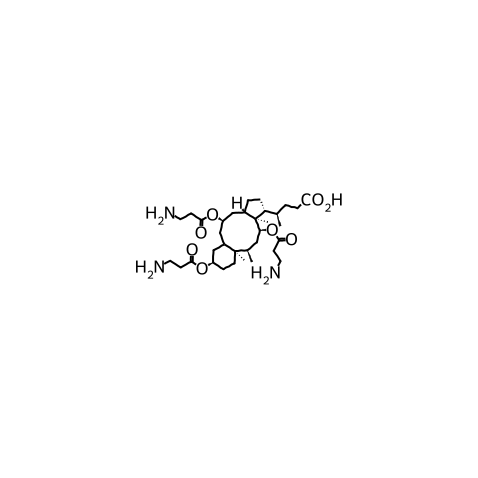 C[C@H](CCC(=O)O)[C@H]1CC[C@H]2C[C@H](OC(=O)CCN)CC3C[C@H](OC(=O)CCN)CC[C@]3(C)[C@H](C)C[C@H](OC(=O)CCN)[C@@]21C